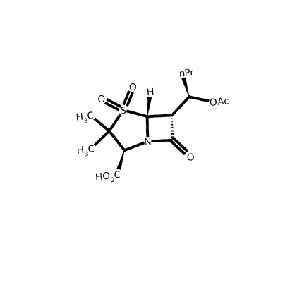 CCC[C@@H](OC(C)=O)[C@@H]1C(=O)N2[C@@H](C(=O)O)C(C)(C)S(=O)(=O)[C@H]12